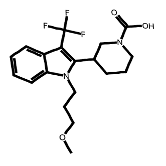 COCCCn1c(C2CCCN(C(=O)O)C2)c(C(F)(F)F)c2ccccc21